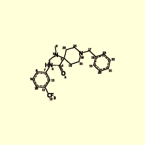 CN(C)C1(C(=O)Nc2cccc(C(F)(F)F)c2)CCN(Cc2ccccc2)CC1